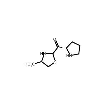 O=C(O)C1CSC(C(=O)[C@@H]2CCCN2)N1